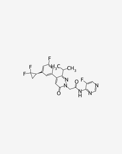 CC(C)c1nn(CC(=O)Nc2ncncc2F)c(=O)cc1-c1cc(F)cc([C@H]2CC2(F)F)c1